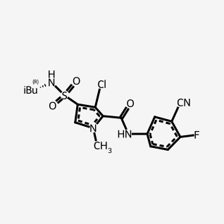 CC[C@@H](C)NS(=O)(=O)c1cn(C)c(C(=O)Nc2ccc(F)c(C#N)c2)c1Cl